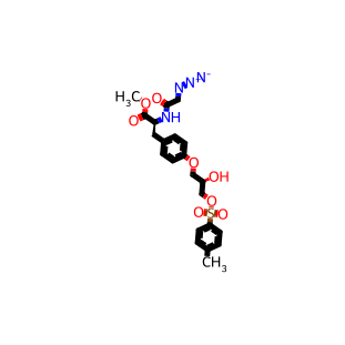 COC(=O)[C@H](Cc1ccc(OC[C@@H](O)COS(=O)(=O)c2ccc(C)cc2)cc1)NC(=O)CN=[N+]=[N-]